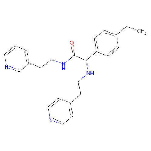 CCc1ccc(C(NCCc2ccncc2)C(=O)NCCc2cccnc2)cc1